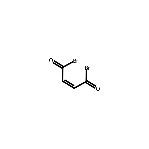 O=C(Br)/C=C\C(=O)Br